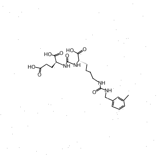 Cc1cccc(CNC(=O)NCCCC[C@H](NC(=O)N[C@@H](CCC(=O)O)C(=O)O)C(=O)O)c1